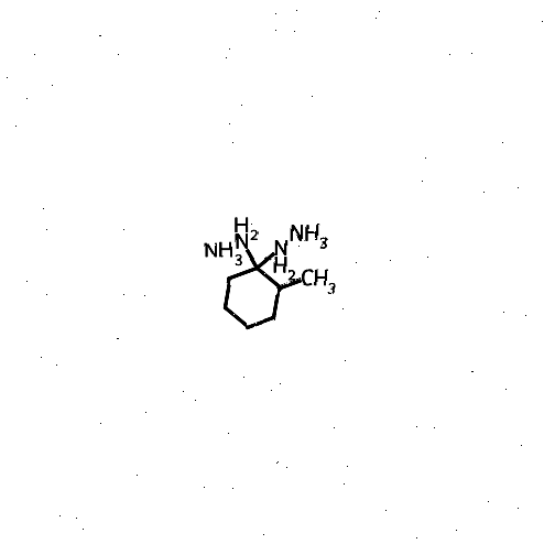 CC1CCCCC1(N)N.N.N